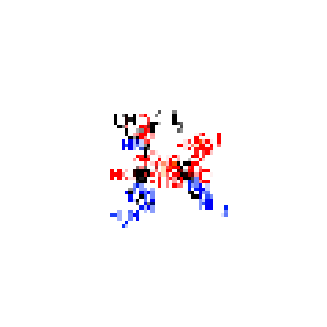 C=CCCC(=O)N[C@@H](COC[C@@H](C)O)C(=O)O[C@H]1[C@@H](O)[C@H](n2cnc3c(N)ncnc32)O[C@@H]1COP(=O)(O)O[C@H]1[C@@H](O)[C@H](n2ccc(N)nc2=O)O[C@@H]1COP(=O)(O)O